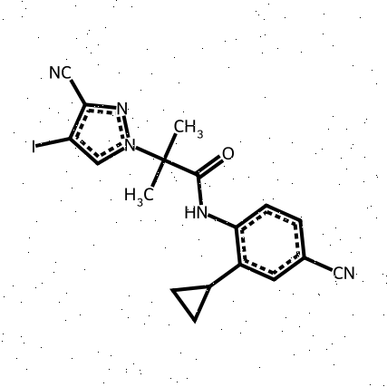 CC(C)(C(=O)Nc1ccc(C#N)cc1C1CC1)n1cc(I)c(C#N)n1